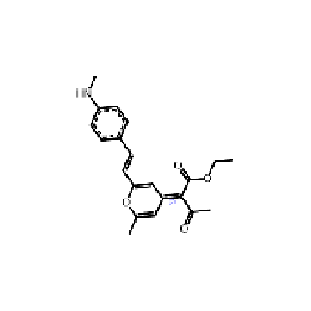 CCOC(=O)/C(C(C)=O)=C1/C=C(C)OC(C=Cc2ccc(NC)cc2)=C1